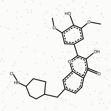 COc1cc(-c2oc3cc(CC4CCC(NCl)CC4)ccc3c(=O)c2O)cc(OC)c1O